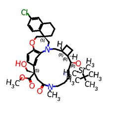 COC(=O)[C@@]1(CO)CC(=O)N(C)CC/C=C/[C@H](O[Si](C)(C)C(C)(C)C)[C@@H]2CC[C@H]2CN2C[C@@]3(CCCc4cc(Cl)ccc43)COc3ccc1cc32